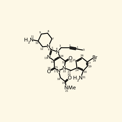 CC#CCn1c(N2CCCC(N)C2)nc2c(=O)n(CC(=O)NC)n(Cc3ccc(Br)cc3N)c(=O)c21